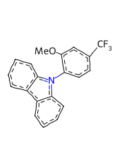 COc1cc(C(F)(F)F)ccc1-n1c2ccccc2c2ccccc21